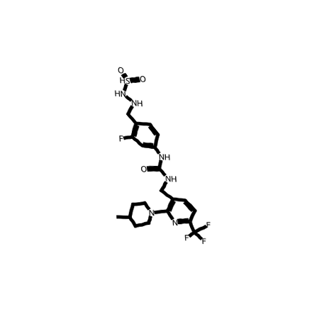 CC1CCN(c2nc(C(F)(F)F)ccc2CNC(=O)Nc2ccc(CNN[SH](=O)=O)c(F)c2)CC1